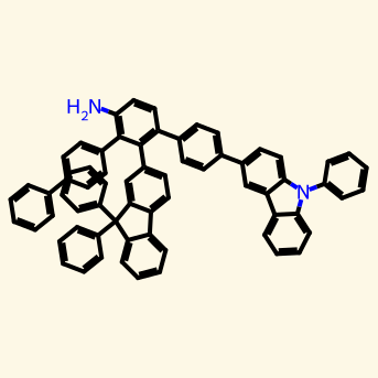 Nc1ccc(-c2ccc(-c3ccc4c(c3)c3ccccc3n4-c3ccccc3)cc2)c(-c2ccc3c(c2)C(c2ccccc2)(c2ccccc2)c2ccccc2-3)c1-c1ccc(-c2ccccc2)cc1